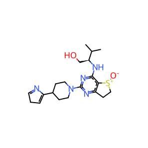 CC(C)[C@H](CO)Nc1nc(N2CCC(C3=CCC=N3)CC2)nc2c1[S+]([O-])CC2